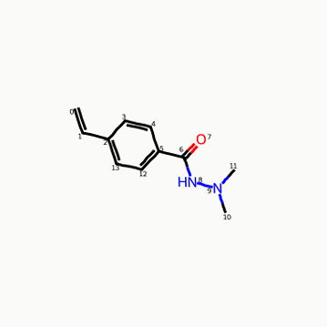 C=Cc1ccc(C(=O)NN(C)C)cc1